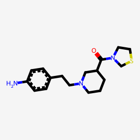 Nc1ccc(CCN2CCCC(C(=O)N3CCSC3)C2)cc1